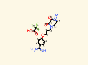 N=C(N)c1ccc(OCCCN2CCNC(=O)C2=O)cc1.O=C(O)C(F)(F)F